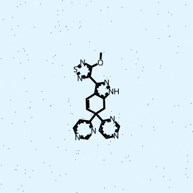 COc1nsnc1-c1n[nH]c2c1C=CC(c1ccncn1)(c1ccncn1)C2